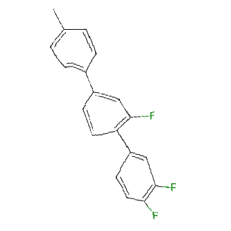 Cc1ccc(-c2ccc(-c3ccc(F)c(F)c3)c(F)c2)cc1